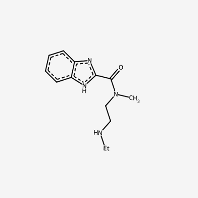 CCNCCN(C)C(=O)c1nc2ccccc2[nH]1